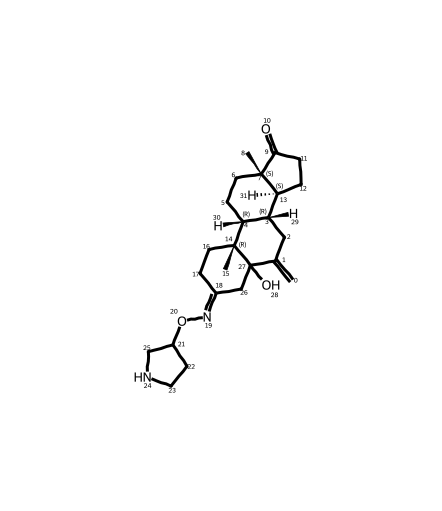 C=C1C[C@@H]2[C@@H](CC[C@]3(C)C(=O)CC[C@@H]23)[C@@]2(C)CCC(=NOC3CCNC3)CC12O